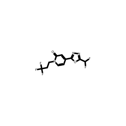 O=c1cc(-c2nnc(C(F)F)o2)ccn1CCC(F)(F)F